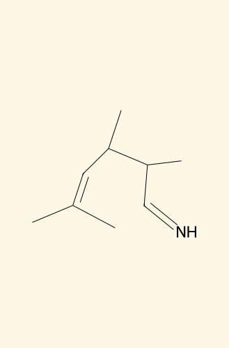 CC(C)=CC(C)C(C)C=N